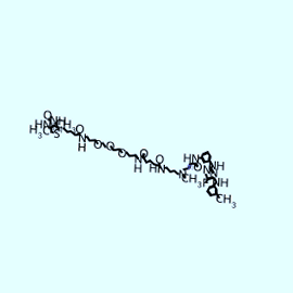 Cc1cccc(Nc2nc(Nc3cccc(NC(=O)/C=C/CN(C)CCCCNC(=O)CCCC(=O)NCCCOCCOCCOCCCNC(=O)CCCC[C@@H]4SC[C@]5(C)NC(=O)N[C@]45C)c3)ncc2F)c1